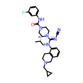 CC(C)[C@@H]1CN(C(=O)Nc2cccc(F)c2)CCN1/C(=N\C#N)Nc1cccc2c1CCN(CC1CC1)C2